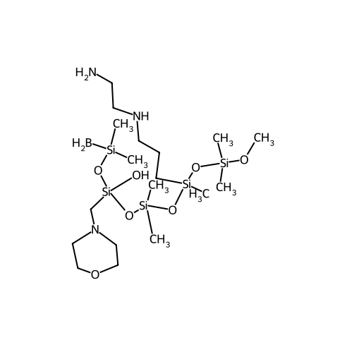 B[Si](C)(C)O[Si](O)(CN1CCOCC1)O[Si](C)(C)O[Si](C)(CCCNCCN)O[Si](C)(C)OC